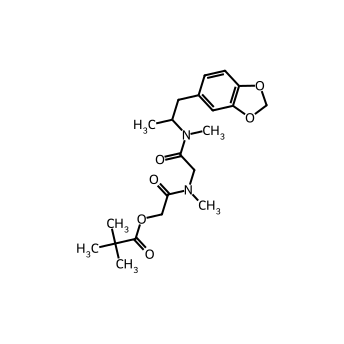 CC(Cc1ccc2c(c1)OCO2)N(C)C(=O)CN(C)C(=O)COC(=O)C(C)(C)C